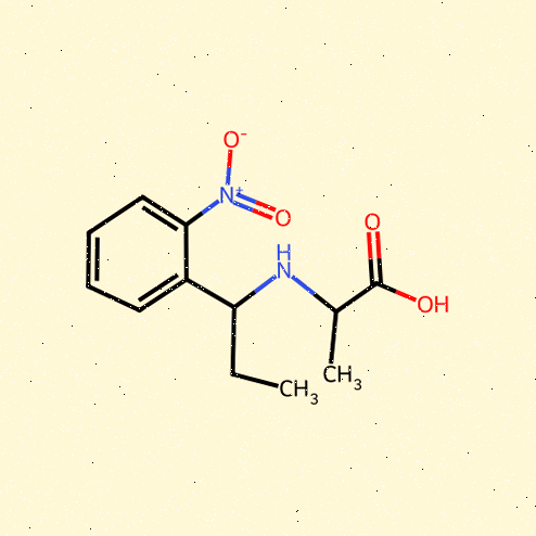 CCC(NC(C)C(=O)O)c1ccccc1[N+](=O)[O-]